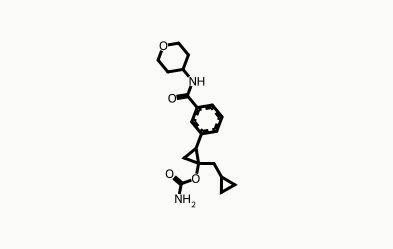 NC(=O)OC1(CC2CC2)CC1c1cccc(C(=O)NC2CCOCC2)c1